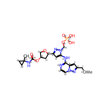 COCc1cc2c(Nc3cc([C@H]4C[C@@H](OC(=O)NC5(C)CC5)CO4)nn3COP(=O)(O)O)nccn2n1